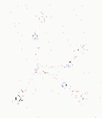 CC(=O)N[C@@H]1[C@@H](O)[C@@H](O)[C@@H](COCCc2cn(CCOCCOCCOCC(COCCOCCOCCn3cc(CCCC[C@H]4O[C@@H](O)[C@H](C)[C@@H](O)[C@H]4O)nn3)(COCCOCCOCCn3cc(CCOC[C@H]4O[C@@H](O)[C@H](C)[C@@H](O)[C@H]4O)nn3)NC(=O)CCOCCOCCC(=O)Oc3c(F)c(F)c(F)c(F)c3F)nn2)O[C@H]1O